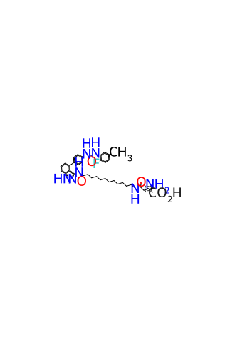 Cc1ccc(F)c(NC(=O)Nc2ccc(-c3cccc4[nH]nc(NC(=O)CCCCCCCCCCCNC(=O)C[C@H](N)C(=O)O)c34)cc2)c1